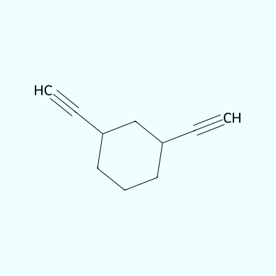 C#CC1CCCC(C#C)C1